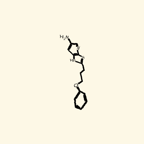 Nc1cnc2nc(CCCOc3ccccc3)[nH]c2c1